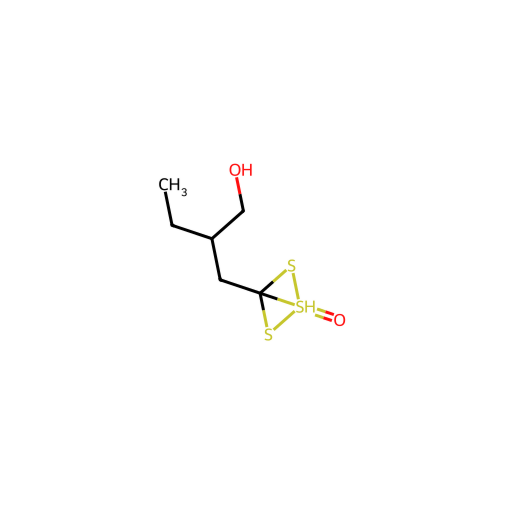 CCC(CO)CC12S[SH]1(=O)S2